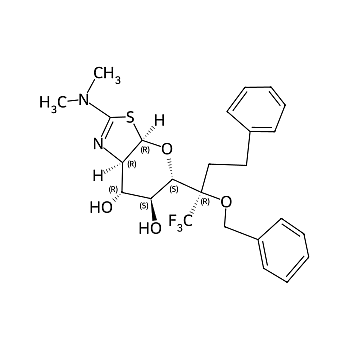 CN(C)C1=N[C@@H]2[C@@H](O)[C@H](O)[C@@H]([C@@](CCc3ccccc3)(OCc3ccccc3)C(F)(F)F)O[C@@H]2S1